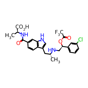 C[C@H](Cc1c[nH]c2cc(C(=O)N[C@@H](C)C(=O)O)ccc12)NC[C@@H](OC(=O)C(F)(F)F)c1cccc(Cl)c1